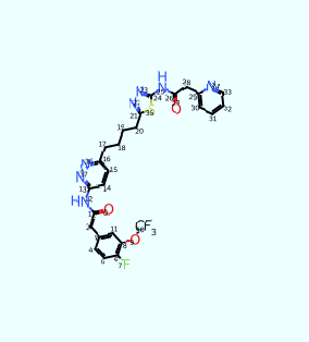 O=C(Cc1ccc(F)c(OC(F)(F)F)c1)Nc1ccc(CCCCc2nnc(NC(=O)Cc3ccccn3)s2)nn1